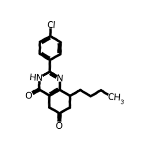 CCCCC1CC(=O)Cc2c1nc(-c1ccc(Cl)cc1)[nH]c2=O